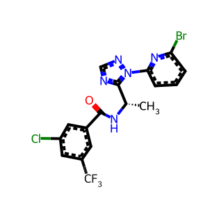 C[C@H](NC(=O)c1cc(Cl)cc(C(F)(F)F)c1)c1ncnn1-c1cccc(Br)n1